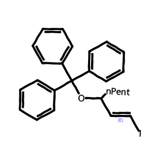 CCCCCC(/C=C/I)OC(c1ccccc1)(c1ccccc1)c1ccccc1